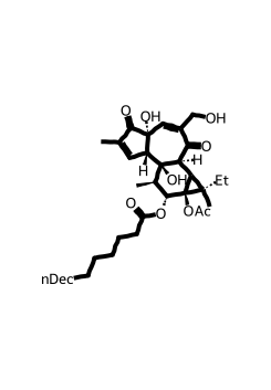 CCCCCCCCCCCCCCCC(=O)O[C@@H]1[C@@H](C)[C@@]2(O)[C@@H](C(=O)C(CO)=C[C@]3(O)C(=O)C(C)=C[C@@H]23)C2[C@](C)(CC)[C@@]21OC(C)=O